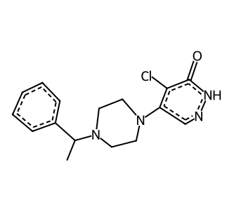 CC(c1ccccc1)N1CCN(c2cn[nH]c(=O)c2Cl)CC1